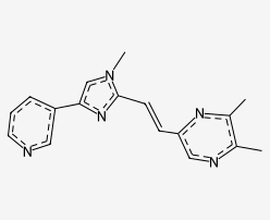 Cc1ncc(C=Cc2nc(-c3cccnc3)cn2C)nc1C